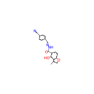 Cc1coc2ccc(C(=O)NN=Cc3ccc(C#N)cc3)c(O)c12